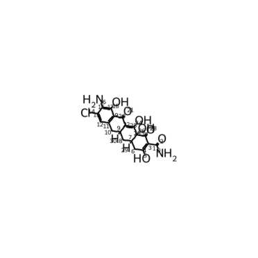 NC(=O)C1=C(O)C[C@@H]2C[C@@H]3Cc4cc(Cl)c(N)c(O)c4C(=O)C3=C(O)[C@]2(O)C1=O